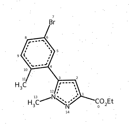 CCOC(=O)c1cc(-c2cc(Br)ccc2C)n(C)n1